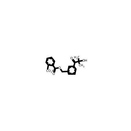 CC(C)(O)C(=O)c1cccc(COC(=O)c2ccccc2C(=O)O)c1